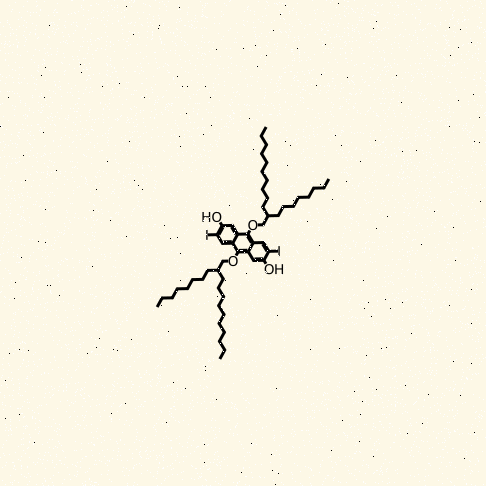 CCCCCCCCCCC(CCCCCCCC)COc1c2cc(O)c(I)cc2c(OCC(CCCCCCCC)CCCCCCCCCC)c2cc(O)c(I)cc12